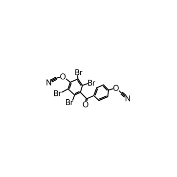 N#COc1ccc(C(=O)c2c(Br)c(Br)c(OC#N)c(Br)c2Br)cc1